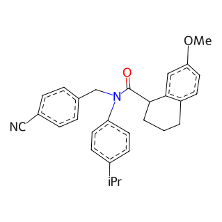 COc1ccc2c(c1)C(C(=O)N(Cc1ccc(C#N)cc1)c1ccc(C(C)C)cc1)CCC2